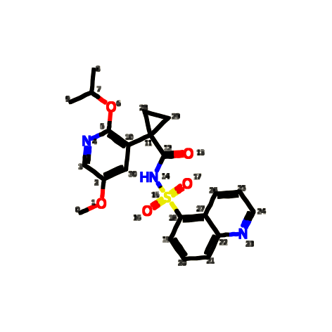 COc1cnc(OC(C)C)c(C2(C(=O)NS(=O)(=O)c3cccc4ncccc34)CC2)c1